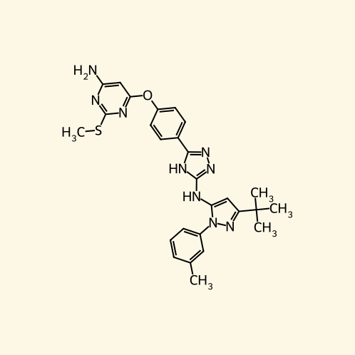 CSc1nc(N)cc(Oc2ccc(-c3nnc(Nc4cc(C(C)(C)C)nn4-c4cccc(C)c4)[nH]3)cc2)n1